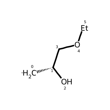 [CH2][C@@H](O)COCC